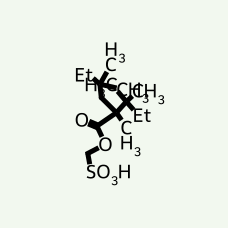 CCC(C)(C)CC(C)(C(=O)OCS(=O)(=O)O)C(C)(C)CC